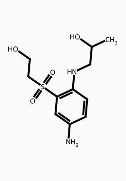 CC(O)CNc1ccc(N)cc1S(=O)(=O)CCO